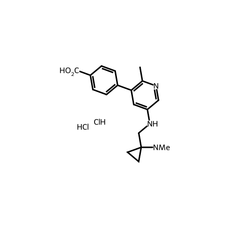 CNC1(CNc2cnc(C)c(-c3ccc(C(=O)O)cc3)c2)CC1.Cl.Cl